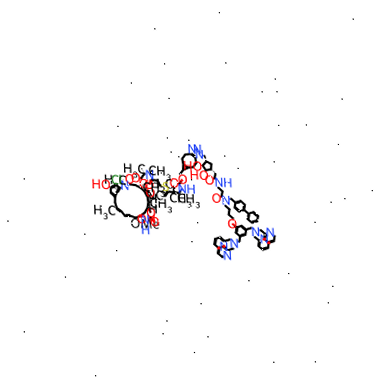 C=CC(C)(/C(=C/C#N)SCCC(=O)N(C)[C@@H](C)C(=O)O[C@H]1CC(=O)N(C)c2cc(cc(O)c2Cl)C/C(C)=C/C=C/[C@@H](OC)[C@@]2(O)C[C@H](OC(=O)N2)C(C)[C@@H]2O[C@@]12C)[C@H](C)NC(=O)OCC1C2CCc3nnn(C[C@H]4C[C@H](CC(=O)NCCC(=O)N(CCCCOc5cc(CN(Cc6ccccn6)Cc6ccccn6)cc(CN(Cc6ccccn6)Cc6ccccn6)c5)Cc5ccc(-c6ccccc6)cc5)[C@H](O)[C@@H]4O)c3CCC21